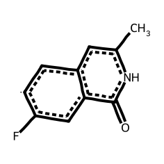 Cc1cc2c[c]c(F)cc2c(=O)[nH]1